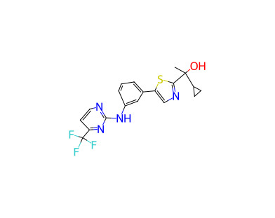 CC(O)(c1ncc(-c2cccc(Nc3nccc(C(F)(F)F)n3)c2)s1)C1CC1